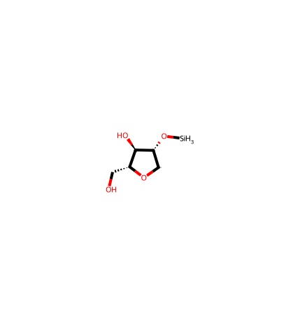 OC[C@H]1O[CH][C@@H](O[SiH3])[C@@H]1O